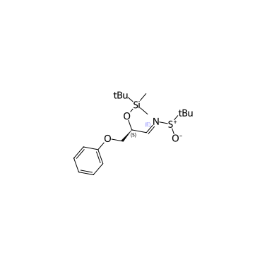 CC(C)(C)[S+]([O-])/N=C/[C@@H](COc1ccccc1)O[Si](C)(C)C(C)(C)C